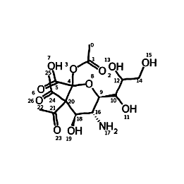 CC(=O)OC1(C(=O)O)O[C@@H](C(O)C(O)CO)[C@H](N)[C@@H](O)C1(C(C)=O)C(C)=O